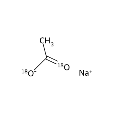 CC(=[18O])[18O-].[Na+]